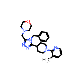 Cc1cccnc1N1CCC(c2nnc(CN3CCOCC3)n2Cc2ccccc2)CC1